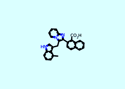 Cc1cccc2[nH]cc(Cc3c(-c4ccc5ccccc5c4C(=O)O)nc4ccccn34)c12